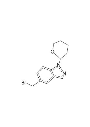 BrCc1ccc2c(cnn2C2CCCCO2)c1